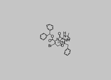 CC(=O)N[C@@]1(NC(=O)Cc2ccccc2)C(=O)N2C(C(=O)OC(c3ccccc3)c3ccccc3)=C(Br)CS[C@H]21